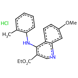 CCOC(=O)c1cnc2cc(OC)ccc2c1Nc1ccccc1C.Cl